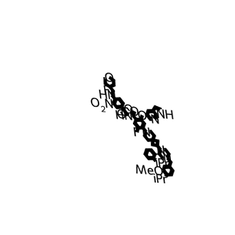 COc1cc(CN2CCN(C3CC4(CCN(c5cc(Oc6cnc7[nH]ccc7c6)c(C(=O)NS(=O)(=O)c6ccc(NCC7(F)CCOCC7)c([N+](=O)[O-])c6)cc5F)CC4)C3)[C@H](c3ccccc3C(C)C)C2)ccc1C(C)C